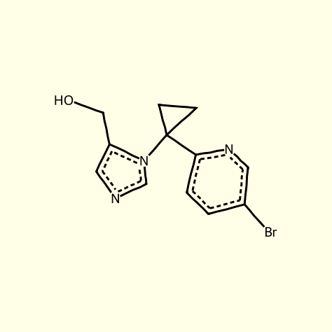 OCc1cncn1C1(c2ccc(Br)cn2)CC1